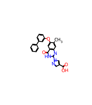 Cc1cc2nc(-n3cc(C(=O)O)cn3)[nH]c(=O)c2cc1Oc1cccc(-c2ccccc2)c1